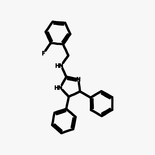 Fc1ccccc1CNC1=NC(c2ccccc2)C(c2ccccc2)N1